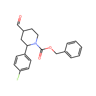 O=CC1CCN(C(=O)OCc2ccccc2)C(c2ccc(F)cc2)C1